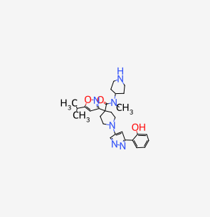 CC(C)c1cc(C2(C(=O)N(C)C3CCNCC3)CCN(c3cnnc(-c4ccccc4O)c3)CC2)no1